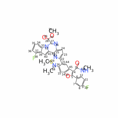 CNC(=O)c1c(-c2ccc(F)cc2)oc2cc(N(C)SC)c(-c3ccc4nc(C(=O)OC)n5c6cccc(F)c6cc5c4n3)cc12